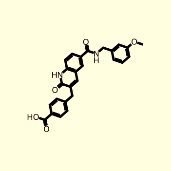 COc1cccc(CNC(=O)c2ccc3[nH]c(=O)c(Cc4ccc(C(=O)O)cc4)cc3c2)c1